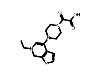 CCN1C=C(N2CCN(C(=O)C(=O)O)CC2)c2ccsc2C1